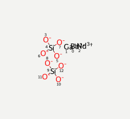 [Ba+2].[Ga+3].[Nd+3].[O-][Si]([O-])([O-])[O-].[O-][Si]([O-])([O-])[O-]